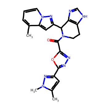 Cc1cccn2nc(C3c4nc[nH]c4CCN3C(=O)c3nnc(-c4cc(C)n(C)n4)o3)cc12